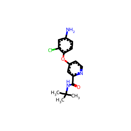 CC(C)(C)NC(=O)c1cc(Oc2ccc(N)cc2Cl)ccn1